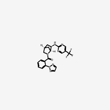 O=C(c1ccccc1-n1nccn1)N1C[C@H]2C[C@@H](Nc3ncc(C(F)(F)F)cn3)[C@@H]1C2